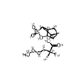 O=C(OC1C2CC3OS(=O)(=O)C1C3C2)C(F)(F)SOOO